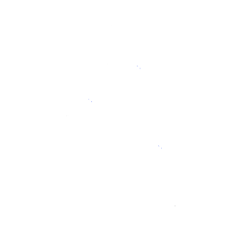 C=CC(=O)Nc1sc2c(c1-c1nc3ccccc3s1)CC(CC)N(C(=O)OC(C)(C)C)C2CC